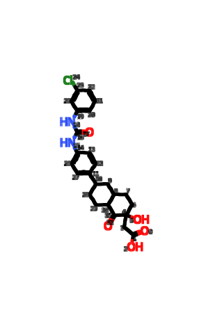 O=C(O)CC1(O)CCC2CC(c3ccc(NC(=O)Nc4cccc(Cl)c4)cc3)CCC2C1=O